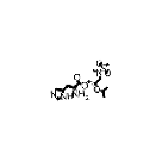 CC(C)O[C@H](COC(=O)[C@@H](N)Cc1cnc[nH]1)CN(C)S(C)(=O)=O